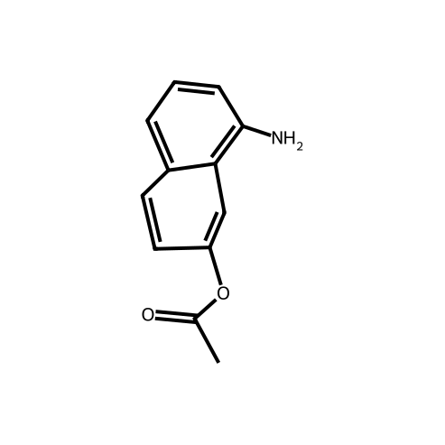 CC(=O)Oc1ccc2cccc(N)c2c1